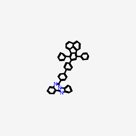 c1ccc(-c2cc(-c3ccc(-c4ccc(-c5nc6ccccc6c6nc7ccccc7n56)cc4)cc3)c(-c3ccccc3)c3c2-c2cccc4cccc-3c24)cc1